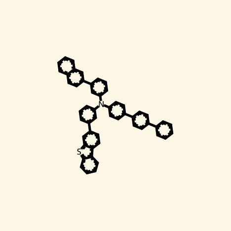 c1ccc(-c2ccc(-c3ccc(N(c4cccc(-c5ccc6ccccc6c5)c4)c4cccc(-c5ccc6c(c5)sc5ccccc56)c4)cc3)cc2)cc1